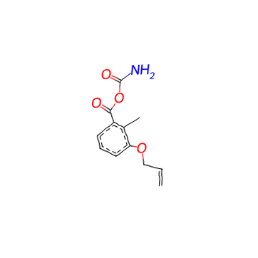 C=CCOc1cccc(C(=O)OC(N)=O)c1C